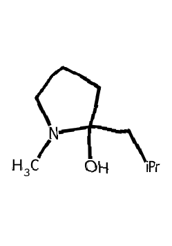 CC(C)CC1(O)CCCN1C